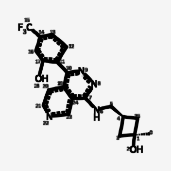 C[C@]1(O)C[C@@H](CNc2nnc(-c3ccc(C(F)(F)F)cc3O)c3ccncc23)C1